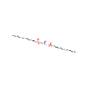 CCCCCCCCCCCCCCCC(=O)OCCN(Br)CCOC(=O)CCCCCCCCCCCCCCC